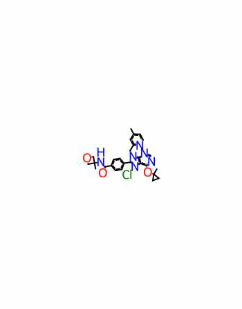 Cc1ccnc(Cn2c(-c3ccc(C(=O)NC4(C)COC4)cc3Cl)nc3c(OC4(C)CC4)ncnc32)c1